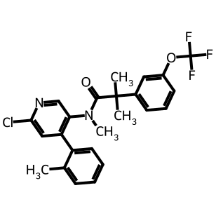 Cc1ccccc1-c1cc(Cl)ncc1N(C)C(=O)C(C)(C)c1cccc(OC(F)(F)F)c1